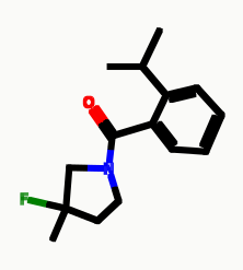 CC(C)c1ccccc1C(=O)N1CCC(C)(F)C1